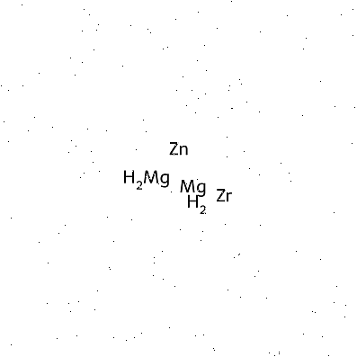 [MgH2].[MgH2].[Zn].[Zr]